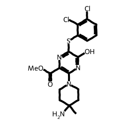 COC(=O)c1nc(Sc2cccc(Cl)c2Cl)c(O)nc1N1CCC(C)(N)CC1